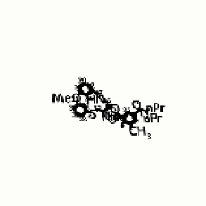 CCCN(CCC)C(=O)c1cc(C)cc(C(=O)O[C@H](CNCc2cccc(OC)c2)[C@@H](N)CSc2ccccc2)c1